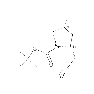 C#CC[C@H]1C[C@@H](C)CN1C(=O)OC(C)(C)C